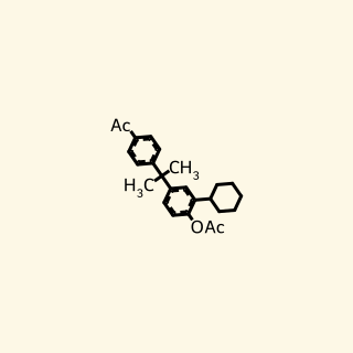 CC(=O)Oc1ccc(C(C)(C)c2ccc(C(C)=O)cc2)cc1C1CCCCC1